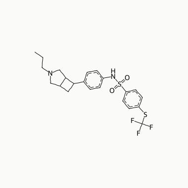 CCCN1CC2CC(c3ccc(NS(=O)(=O)c4ccc(SC(F)(F)F)cc4)cc3)C2C1